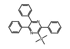 C[Si](C)(C)c1nc(-c2ccccc2)c(-c2ccccc2)nc1-c1ccccc1